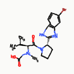 CC(C)[C@@H](C(=O)N1CCC[C@H]1c1nc2cc(Br)ccc2[nH]1)N(C)C(=O)O